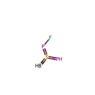 B=S(=P)=PF